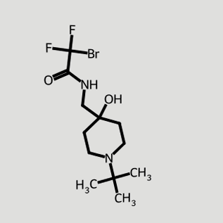 CC(C)(C)N1CCC(O)(CNC(=O)C(F)(F)Br)CC1